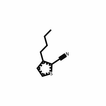 CCCCc1ccsc1C#N